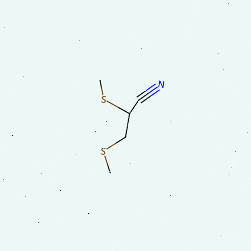 CSCC(C#N)SC